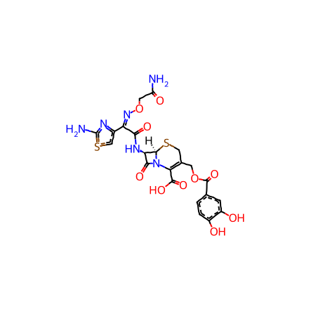 NC(=O)CO/N=C(\C(=O)N[C@@H]1C(=O)N2C(C(=O)O)=C(COC(=O)c3ccc(O)c(O)c3)CS[C@H]12)c1csc(N)n1